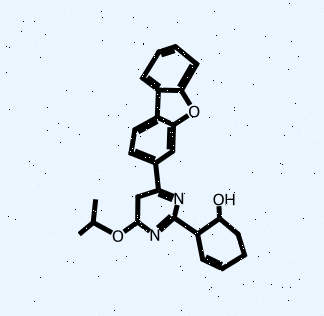 CC(C)OC1CC(c2ccc3c(c2)oc2ccccc23)=NC(C2C=CCCC2O)=N1